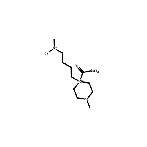 CN1CC[N+](CCCC[S+](C)[O-])(C(N)=S)CC1